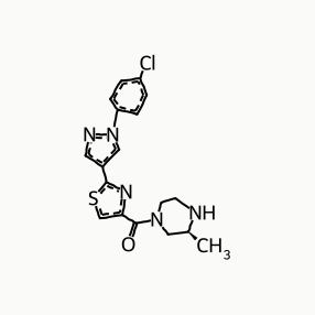 C[C@H]1CN(C(=O)c2csc(-c3cnn(-c4ccc(Cl)cc4)c3)n2)CCN1